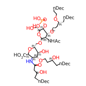 CCCCCCCCCCCCO[C@H](CCCCCCCCCCC)CCO[C@@H]1[C@@H](NC(C)=O)[C@H](OC[C@H]2O[C@H](C(=O)O)[C@H](NC(=O)C[C@H](O)CCCCCCCCCCC)[C@@H](OCC[C@H](O)CCCCCCCCCCC)[C@@H]2O)O[C@H](CO)[C@H]1OP(=O)(O)O